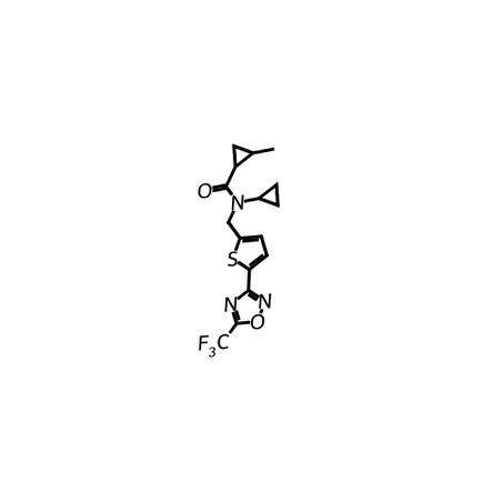 CC1CC1C(=O)N(Cc1ccc(-c2noc(C(F)(F)F)n2)s1)C1CC1